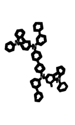 CC1CC(N(c2ccc(-c3ccc(N(c4cccc(-c5ccccc5)c4)c4ccc5c(c4)c4ccccc4n5-c4ccccc4)cc3)cc2)c2cccc(-c3ccccc3)c2)=Cc2c1n(C1=CC=CCC1)c1ccccc21